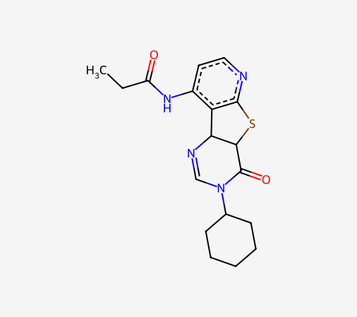 CCC(=O)Nc1ccnc2c1C1N=CN(C3CCCCC3)C(=O)C1S2